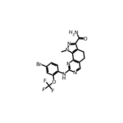 Cn1nc(C(N)=O)c2c1-c1nc(Nc3ccc(Br)cc3OC(F)(F)F)ncc1CC2